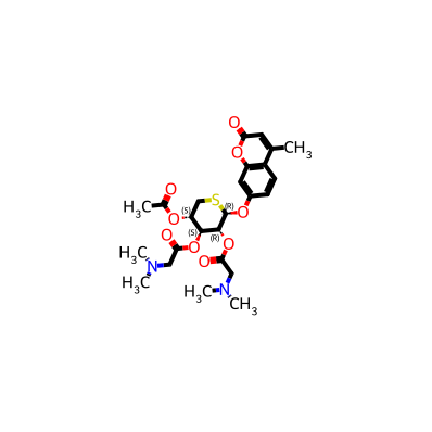 CC(=O)O[C@@H]1CS[C@@H](Oc2ccc3c(C)cc(=O)oc3c2)[C@H](OC(=O)CN(C)C)[C@H]1OC(=O)CN(C)C